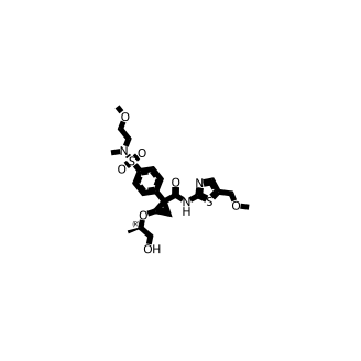 COCCN(C)S(=O)(=O)c1ccc(C2(C(=O)Nc3ncc(COC)s3)C=C2O[C@H](C)CO)cc1